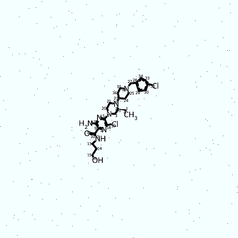 CC[C@H]1CN(c2nc(N)c(C(=O)NCCCO)nc2Cl)CCN1C1CCN(Cc2ccc(Cl)cc2)CC1